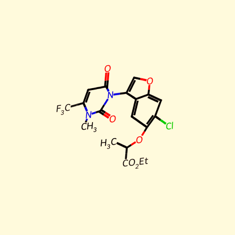 CCOC(=O)C(C)Oc1cc2c(-n3c(=O)cc(C(F)(F)F)n(C)c3=O)coc2cc1Cl